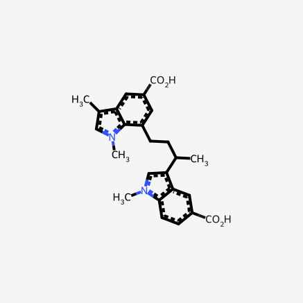 Cc1cn(C)c2c(CCC(C)c3cn(C)c4ccc(C(=O)O)cc34)cc(C(=O)O)cc12